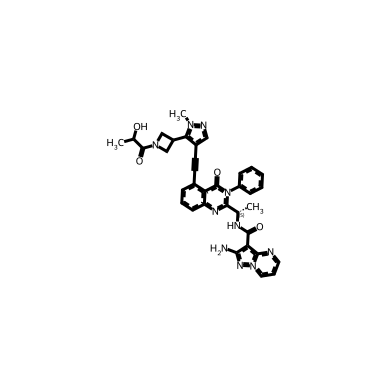 CC(O)C(=O)N1CC(c2c(C#Cc3cccc4nc([C@H](C)NC(=O)c5c(N)nn6cccnc56)n(-c5ccccc5)c(=O)c34)cnn2C)C1